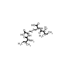 CC[C@H](C)[C@H](N)C(=O)N[C@@H](CSSC[C@H](NC(=O)[C@@H](N)[C@@H](C)CC)C(=O)O)C(=O)O